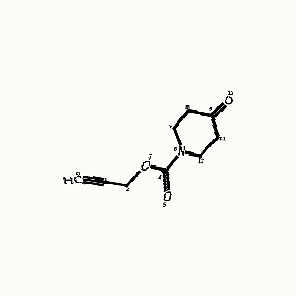 C#CCOC(=O)N1CCC(=O)CC1